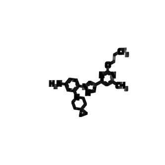 Cc1cc(-c2cnn(-c3ccc(N)cc3N3CCC4(CC3)CC4)c2)nc(OCCC(F)(F)F)n1